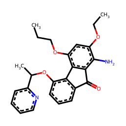 CCCOc1cc(OCC)c(N)c2c1-c1c(OC(C)c3ccccn3)cccc1C2=O